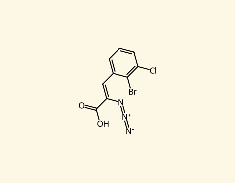 [N-]=[N+]=N/C(=C\c1cccc(Cl)c1Br)C(=O)O